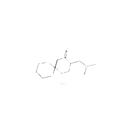 CN(C)CC1CCC2(CC1=O)OCCCO2.Cl